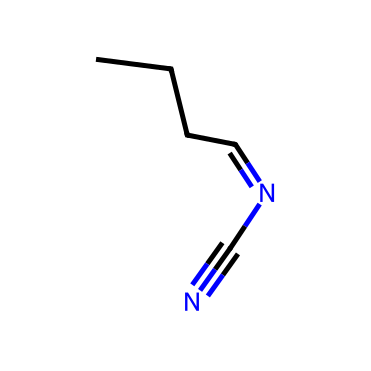 CCC/C=N\C#N